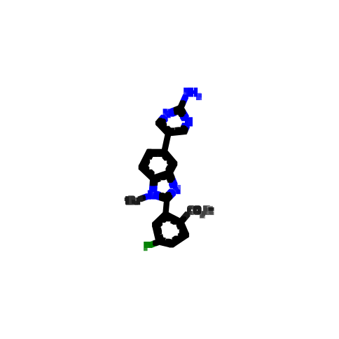 CCOC(=O)c1ccc(F)cc1-c1nc2cc(-c3cnc(N)nc3)ccc2n1C(C)(C)C